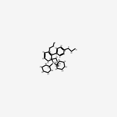 CCCC1=C(c2ccc(CCC)cc2)C(CCC)(P(C2CCCCC2)C2CCCCC2)CC=C1